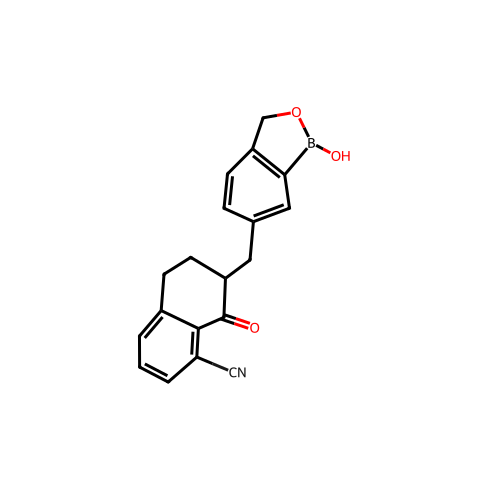 N#Cc1cccc2c1C(=O)C(Cc1ccc3c(c1)B(O)OC3)CC2